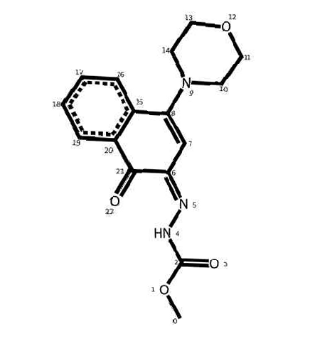 COC(=O)NN=C1C=C(N2CCOCC2)c2ccccc2C1=O